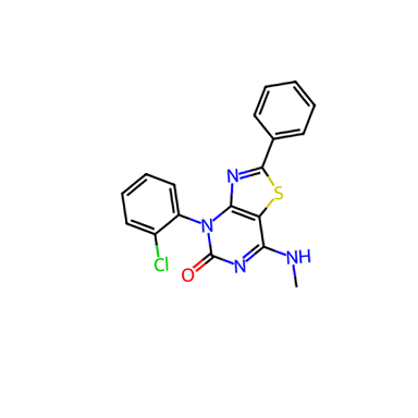 CNc1nc(=O)n(-c2ccccc2Cl)c2nc(-c3ccccc3)sc12